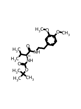 COc1ccc(CCNC(=O)[C@@H](NC(=O)OC(C)(C)C)C(C)C)cc1OC